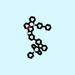 c1ccc(-c2ccc(N(c3ccc4sc5ccc(-c6ccc7c(c6)C6(c8ccccc8-7)c7ccccc7N(c7ccccc7)c7ccccc76)cc5c4c3)c3ccccc3-c3ccccc3)cc2)cc1